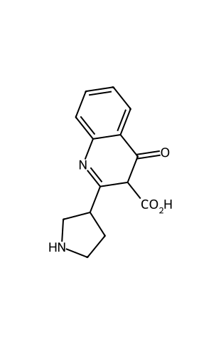 O=C(O)C1C(=O)c2ccccc2N=C1C1CCNC1